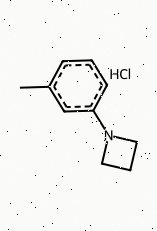 Cc1cccc(N2CCC2)c1.Cl